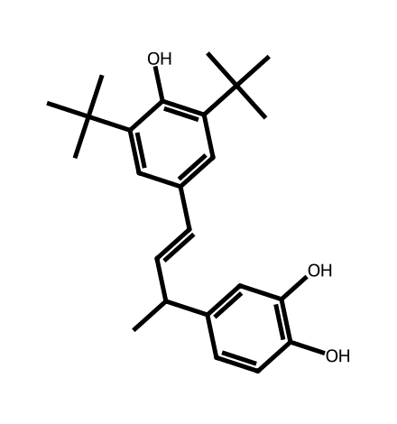 CC(/C=C/c1cc(C(C)(C)C)c(O)c(C(C)(C)C)c1)c1ccc(O)c(O)c1